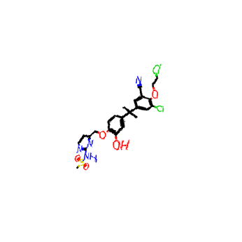 CC(C)(c1ccc(OCc2ccnc(NS(C)(=O)=O)n2)c(O)c1)c1cc(Cl)c(OCCCl)c(C#N)c1